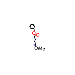 CO/C=C/CCCC(=O)OCc1ccccc1